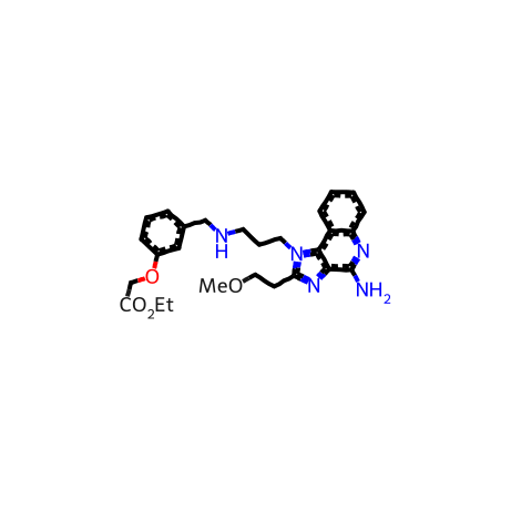 CCOC(=O)COc1cccc(CNCCCn2c(CCOC)nc3c(N)nc4ccccc4c32)c1